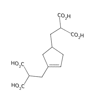 O=C(O)C(CC1=CCC(CC(C(=O)O)C(=O)O)C1)C(=O)O